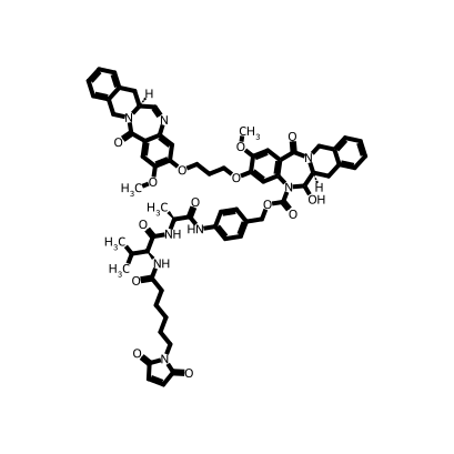 COc1cc2c(cc1OCCCOc1cc3c(cc1OC)C(=O)N1Cc4ccccc4C[C@H]1C(O)N3C(=O)OCc1ccc(NC(=O)[C@H](C)NC(=O)[C@@H](NC(=O)CCCCCN3C(=O)C=CC3=O)C(C)C)cc1)N=C[C@@H]1Cc3ccccc3CN1C2=O